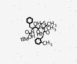 Cc1ccccc1CNC(=O)[C@H]1N(C(=O)[C@@H](O)[C@H](Cc2ccccc2)NC(=O)OC(C)(C)C)CSC1(C)C